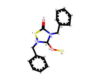 O=C1SN(Cc2ccccc2)C(OS)N1Cc1ccccc1